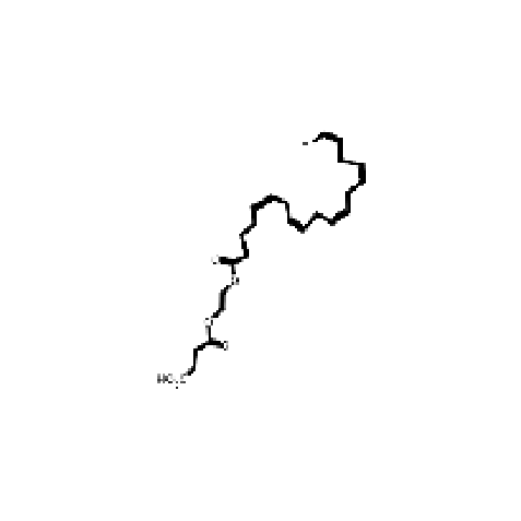 CC/C=C\C/C=C\C/C=C\C/C=C\C/C=C\CCCC(=O)OCCOC(=O)CCC(=O)O